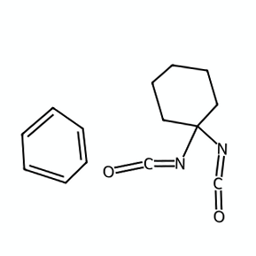 O=C=NC1(N=C=O)CCCCC1.c1ccccc1